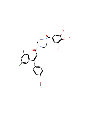 CCOc1ccc(C(=CC(=O)N2CCN(C(=O)c3cc(OC)c(OC)c(OC)c3)CC2)c2cc(C)cc(Cl)c2)cc1